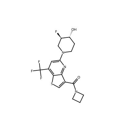 O=C(c1csc2c(C(F)(F)F)cc(N3CC[C@@H](O)[C@H](F)C3)nc12)N1CCC1